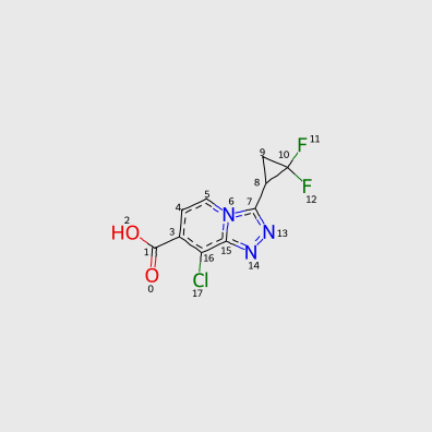 O=C(O)c1ccn2c(C3CC3(F)F)nnc2c1Cl